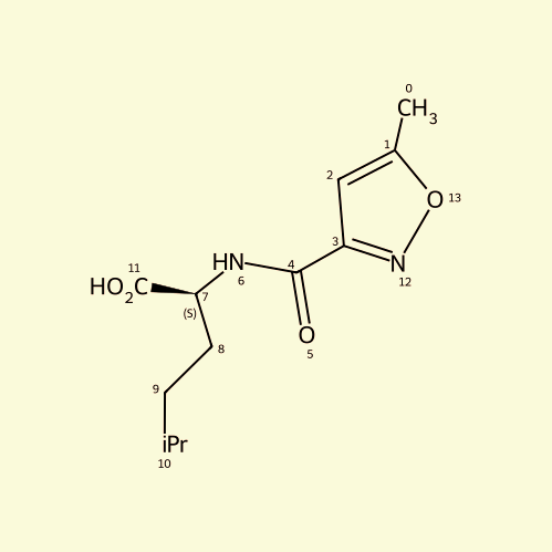 Cc1cc(C(=O)N[C@@H](CCC(C)C)C(=O)O)no1